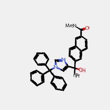 CCCC(O)(c1ccc2cc(C(=O)NC)ccc2c1)c1cn(C(c2ccccc2)(c2ccccc2)c2ccccc2)cn1